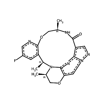 C[C@@H]1COc2ncc(F)cc2[C@H](C)N2c3nc4c(cnn4cc3OC[C@H]2C)C(=O)N1